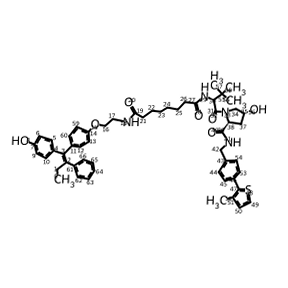 CC/C(=C(\c1ccc(O)cc1)c1ccc(OCCNC(=O)CCCCCCC(=O)N[C@H](C(=O)N2C[C@H](O)C[C@H]2C(=O)NCc2ccc(-c3sccc3C)cc2)C(C)(C)C)cc1)c1ccccc1